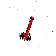 O=C(O)CCOCCOCCOCCOCCOCCOCCOCCOCCOCCOCCOCCOCCN(C[C@@H](O)[C@@H](O)[C@H](O)[C@H](O)CO)C[C@@H](O)[C@@H](O)[C@H](O)[C@H](O)CO